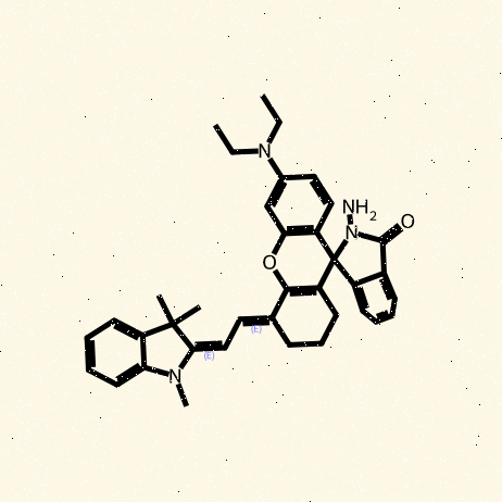 CCN(CC)c1ccc2c(c1)OC1=C(CCC/C1=C\C=C1\N(C)c3ccccc3C1(C)C)C21c2ccccc2C(=O)N1N